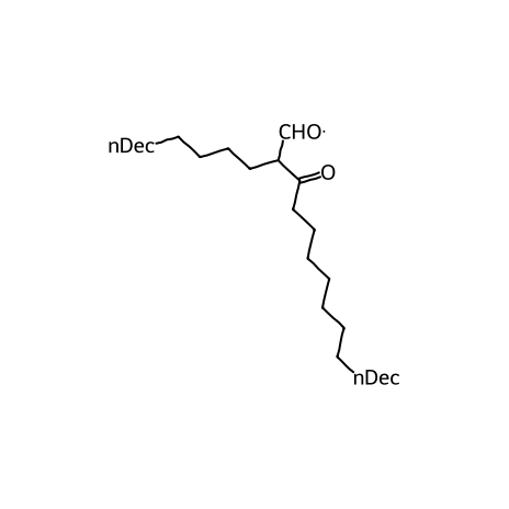 CCCCCCCCCCCCCCCCCC(=O)C([C]=O)CCCCCCCCCCCCCC